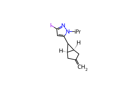 C=C1C[C@@H]2C(c3cc(I)nn3C(C)C)[C@@H]2C1